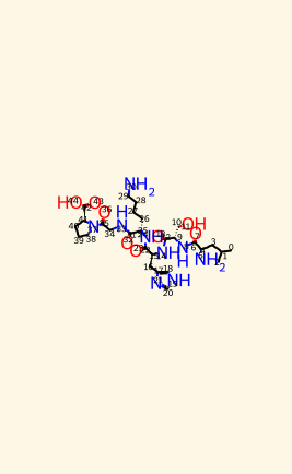 CC(C)C[C@H](N)C(=O)N[C@@H](CO)C(=O)N[C@@H](Cc1c[nH]cn1)C(=O)N[C@@H](CCCCN)C(=O)NCC(=O)N1CCC[C@H]1C(=O)O